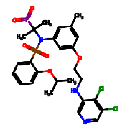 Cc1cc(OCCNc2cncc(Cl)c2Cl)cc(N(C(C)(C)P(=O)=O)S(=O)(=O)c2ccccc2OC(C)C)c1